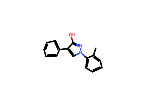 Cc1ccccc1-n1cc(-c2ccccc2)c(O)n1